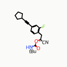 CC(C)(C)NC(=O)O[C@H](C#N)Cc1ccc(C#CC2CCCC2)cc1F